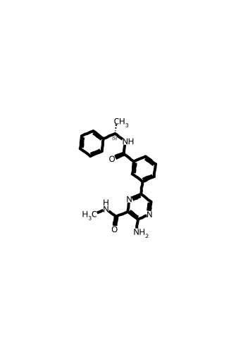 CNC(=O)c1nc(-c2cccc(C(=O)N[C@@H](C)c3ccccc3)c2)cnc1N